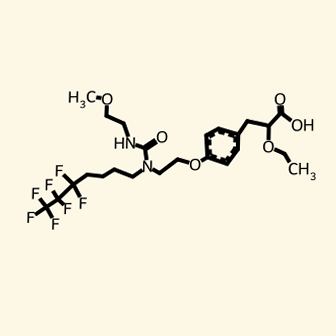 CCOC(Cc1ccc(OCCN(CCCCC(F)(F)C(F)(F)C(F)(F)F)C(=O)NCCOC)cc1)C(=O)O